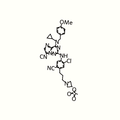 COc1ccc(CN(c2nc(Nc3cc(C#N)c(CCCN4CC(OS(C)(=O)=O)C4)cc3Cl)nn3c(C#N)cnc23)C2CC2)cc1